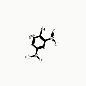 C[S+]([O-])c1ccc(S)c([N+](=O)[O-])c1.[Zn+2]